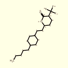 CCCCCC1CCC(CCC2CCC(C(F)(F)F)C(=O)O2)CC1